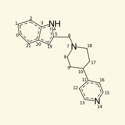 c1ccc2[nH]c(CN3CCC(c4ccncc4)CC3)cc2c1